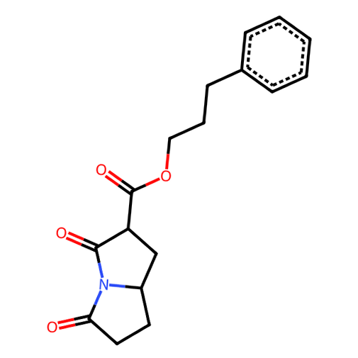 O=C(OCCCc1ccccc1)C1CC2CCC(=O)N2C1=O